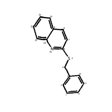 c1ccc(CSc2ccc3ccccc3n2)cc1